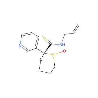 C=CCNC(=S)[C@]1(c2cccnc2)CCCC[S+]1[O-]